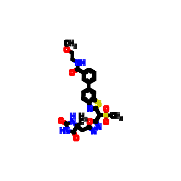 COCCNC(=O)c1cccc(-c2ccc3nc(C(c4nnc(CC5(C)NC(=O)NC5=O)o4)S(C)(=O)=O)sc3c2)c1